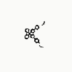 c1ccc2c(c1)-c1ccccc1C2(c1ccc(-c2ccc(OCC3CO3)cc2)cc1)c1ccc(-c2ccc(OCC3CO3)cc2)cc1